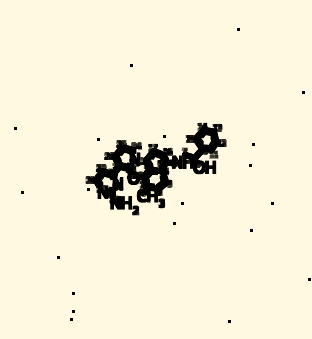 Cc1ccc2c(NC[C@H](O)c3ccccc3)cccc2c1Oc1ncccc1-c1ccnc(N)n1